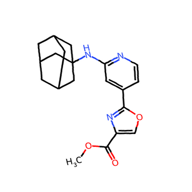 COC(=O)c1coc(-c2ccnc(NC34CC5CC(CC(C5)C3)C4)c2)n1